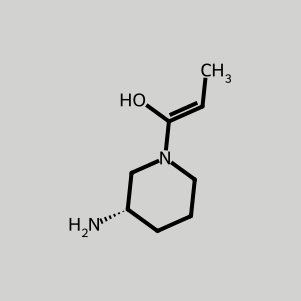 CC=C(O)N1CCC[C@H](N)C1